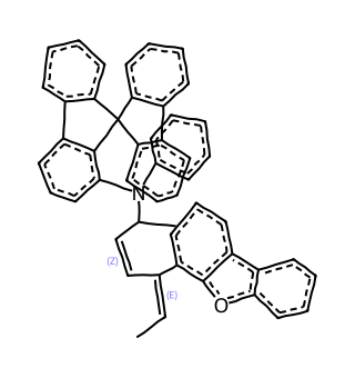 C/C=C(\C=C/C(C)N(c1ccccc1)c1cccc2c1C1(c3ccccc3-c3ccccc31)c1ccccc1-2)c1cccc2c1oc1ccccc12